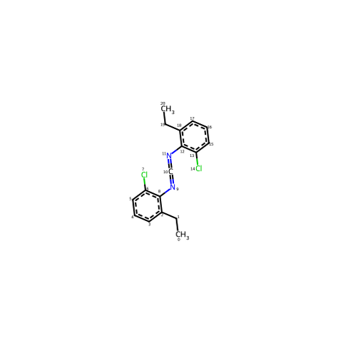 CCc1cccc(Cl)c1N=C=Nc1c(Cl)cccc1CC